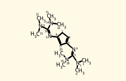 CN(C)C(=NC1=CCC(N=C(N(C)C)N(C)C)=C1)N(C)C